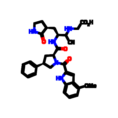 COc1cccc2[nH]c(C(=O)N3C[C@H](c4ccccc4)C[C@H]3C(=O)N[C@@H](C[C@@H]3CCNC3=O)C(C#N)NCC(=O)O)cc12